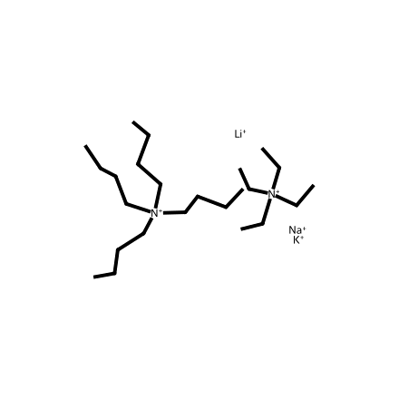 CCCC[N+](CCCC)(CCCC)CCCC.CC[N+](CC)(CC)CC.[K+].[Li+].[Na+]